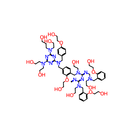 C=N/C(=N\C(=N/CN(CCO)Cc1ccccc1OCCO)N(CCO)Cc1ccc(CN(Cc2ccc(OCCO)cc2)c2nc(N(CCO)CCO)nc(N(CCO)CCCO)n2)cc1OCCO)N(CCO)Cc1ccccc1OCCO